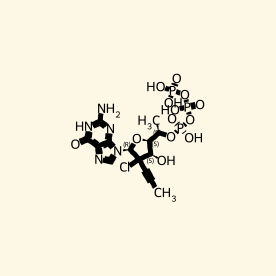 CC#CC1(Cl)[C@@H](O)[C@@H]([C@H](C)OP(=O)(O)OP(=O)(O)OP(=O)(O)O)O[C@H]1n1cnc2c(=O)[nH]c(N)nc21